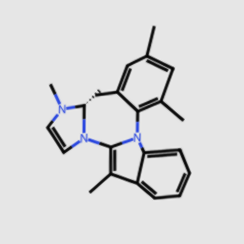 Cc1cc(C)c(-n2c(N3C=CN(C)[C@@H]3C)c(C)c3ccccc32)c(C)c1